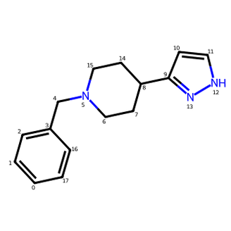 c1ccc(CN2CCC(c3cc[nH]n3)CC2)cc1